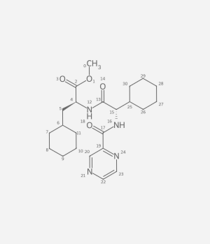 COC(=O)[C@H](CC1CCCCC1)NC(=O)[C@@H](NC(=O)c1cnccn1)C1CCCCC1